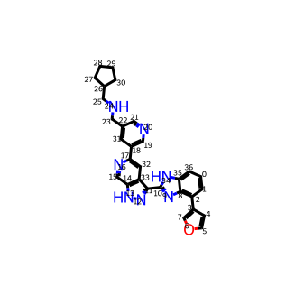 c1cc(-c2ccoc2)c2nc(-c3n[nH]c4cnc(-c5cncc(CNCC6CCCC6)c5)cc34)[nH]c2c1